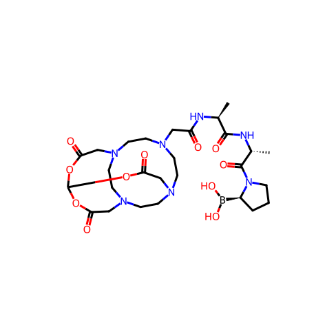 C[C@H](NC(=O)CN1CCN2CCN3CCN(CC1)CC(=O)OC(OC(=O)C2)OC(=O)C3)C(=O)N[C@H](C)C(=O)N1CCC[C@H]1B(O)O